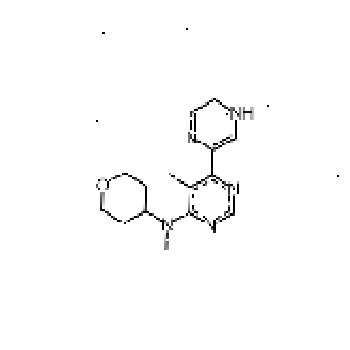 Cc1c(C2=CNCC=N2)ncnc1N(C)C1CCOCC1